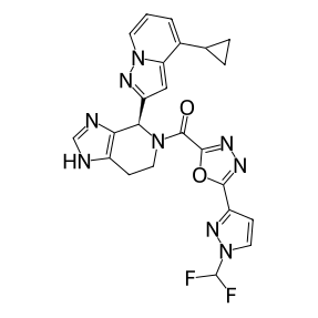 O=C(c1nnc(-c2ccn(C(F)F)n2)o1)N1CCc2[nH]cnc2[C@H]1c1cc2c(C3CC3)cccn2n1